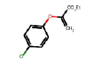 C=C(Oc1ccc(Cl)cc1)C(=O)OCC